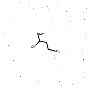 CNC(CCN)N=O